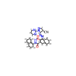 N#Cc1cnn(-c2ncccn2)c1/N=N/c1c(O)c(C(=O)Nc2cccc3ccccc23)cc2ccccc12